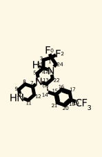 FC1(F)C[C@H]2CN(C3CCNCC3)[C@@H](Cc3ccc(C(F)(F)F)cc3)CN2C1